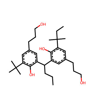 CCCC(c1cc(CCCO)cc(C(C)(C)C)c1O)c1cc(CCCO)cc(C(C)(C)CC)c1O